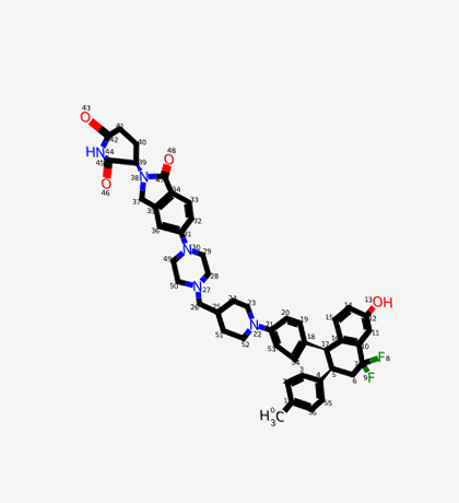 Cc1ccc([C@@H]2CC(F)(F)c3cc(O)ccc3[C@@H]2c2ccc(N3CCC(CN4CCN(c5ccc6c(c5)CN([C@@H]5CCC(=O)NC5=O)C6=O)CC4)CC3)cc2)cc1